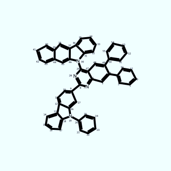 c1ccc(-c2cc3nc(-c4ccc5c6ccccc6n(-c6ccccc6)c5c4)nc(-n4c5ccccc5c5cc6ccccc6cc54)c3cc2-c2ccccc2)cc1